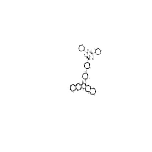 c1ccc(-c2nc(-c3ccccc3)nc(-c3ccc(-c4ccc(-n5c6cc7ccccc7cc6c6cc7ccccc7cc65)cc4)cc3)n2)cc1